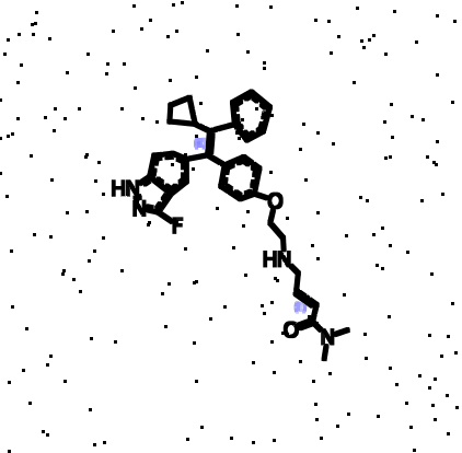 CN(C)C(=O)/C=C/CNCCOc1ccc(/C(=C(\c2ccccc2)C2CCC2)c2ccc3[nH]nc(F)c3c2)cc1